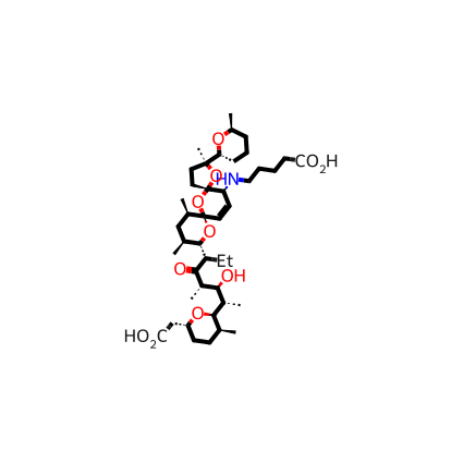 CCC(C(=O)[C@@H](C)[C@@H](O)[C@H](C)[C@@H]1O[C@@H](CC(=O)O)CC[C@@H]1C)[C@H]1O[C@]2(C=C[C@@H](NCCCCC(=O)O)[C@]3(CC[C@@](C)([C@H]4CCC[C@H](C)O4)O3)O2)[C@H](C)C[C@@H]1C